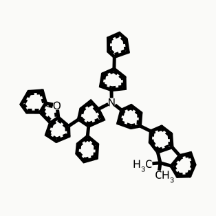 CC1(C)c2ccccc2-c2ccc(-c3ccc(N(c4ccc(-c5ccccc5)cc4)c4ccc(-c5cccc6c5oc5ccccc56)c(-c5ccccc5)c4)cc3)cc21